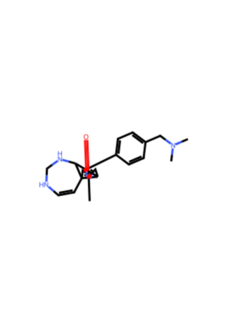 CN(C)Cc1ccc(C2=C3C=CN=CC34C=CNCNC4C2=O)cc1